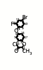 CC(Oc1ccc(Oc2ccc(Br)cc2F)cc1)C(=O)Cl